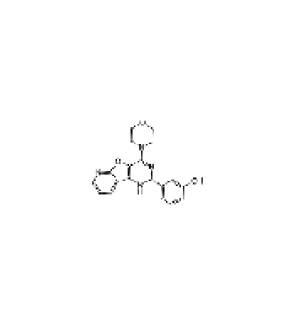 Oc1cccc(C2N=C(N3CCOCC3)c3oc4ncccc4c3N2)c1